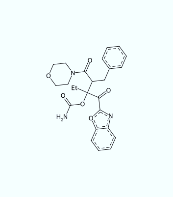 CCC(OC(N)=O)(C(=O)c1nc2ccccc2o1)C(Cc1ccccc1)C(=O)N1CCOCC1